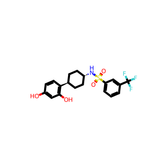 O=S(=O)(N[C@H]1CC[C@H](c2ccc(O)cc2O)CC1)c1cccc(C(F)(F)F)c1